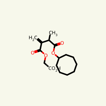 C=C(C(=O)OCC(=O)O)C(C)C(=O)OC1CCCCCCC1